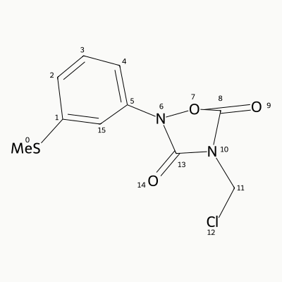 CSc1cccc(-n2oc(=O)n(CCl)c2=O)c1